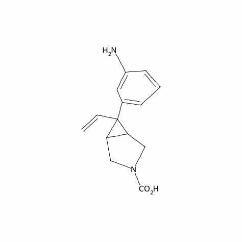 C=CC1(c2cccc(N)c2)C2CN(C(=O)O)CC21